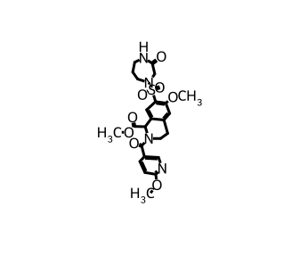 COC(=O)C1c2cc(S(=O)(=O)N3CCCNC(=O)C3)c(OC)cc2CCN1C(=O)c1ccc(OC)nc1